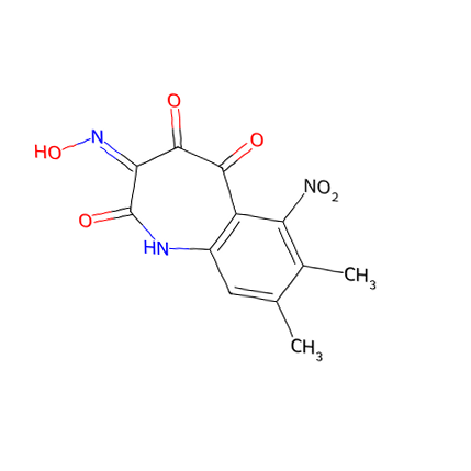 Cc1cc2c(c([N+](=O)[O-])c1C)C(=O)C(=O)C(=NO)C(=O)N2